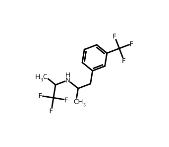 CC(Cc1cccc(C(F)(F)F)c1)NC(C)C(F)(F)F